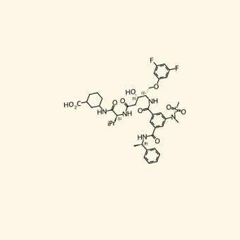 CC(C)[C@H](NC(=O)C[C@H](O)[C@H](COc1cc(F)cc(F)c1)NC(=O)c1cc(C(=O)N[C@H](C)c2ccccc2)cc(N(C)S(C)(=O)=O)c1)C(=O)NC1CCCC(C(=O)O)C1